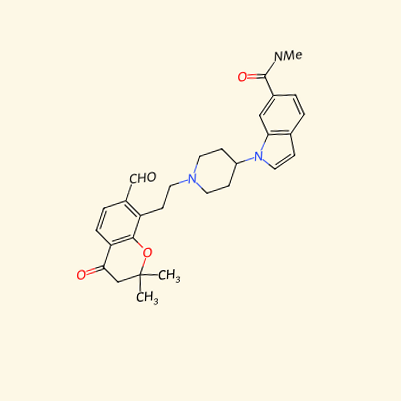 CNC(=O)c1ccc2ccn(C3CCN(CCc4c(C=O)ccc5c4OC(C)(C)CC5=O)CC3)c2c1